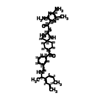 C=C/C=C(\C=C/C)C(C)NSc1cccc(C(=O)N2CCC3(CC2)CN/C(=N\C(=O)c2nc(C)c(N)nc2N)N3)c1